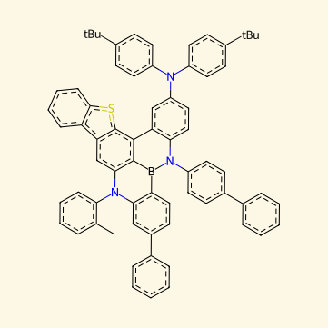 Cc1ccccc1N1c2cc(-c3ccccc3)ccc2B2c3c1cc1c(sc4ccccc41)c3-c1cc(N(c3ccc(C(C)(C)C)cc3)c3ccc(C(C)(C)C)cc3)ccc1N2c1ccc(-c2ccccc2)cc1